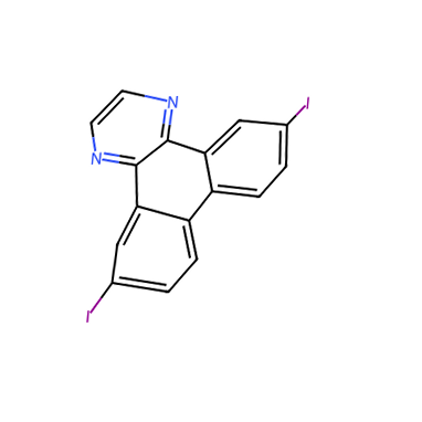 Ic1ccc2c3ccc(I)cc3c3nccnc3c2c1